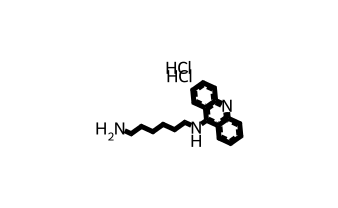 Cl.Cl.NCCCCCCNc1c2ccccc2nc2ccccc12